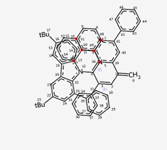 C=C(/C=C(\C(=C\c1ccccc1)n1c2ccc(C(C)(C)C)cc2c2cc(C(C)(C)C)cc(-c3ccccc3)c21)c1ccccc1)c1cc(-c2ccccc2)nc(-c2ccccc2)n1